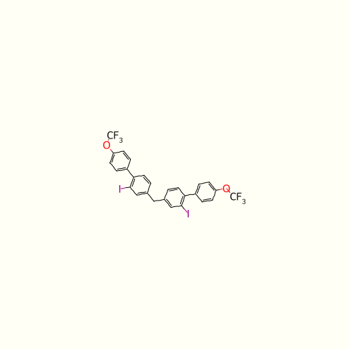 FC(F)(F)Oc1ccc(-c2ccc(Cc3ccc(-c4ccc(OC(F)(F)F)cc4)c(I)c3)cc2I)cc1